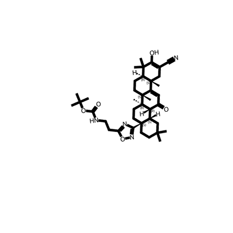 CC1(C)CC[C@]2(c3noc(CCNC(=O)OC(C)(C)C)n3)CC[C@]3(C)[C@H](C(=O)C=C4[C@@]5(C)CC(C#N)=C(O)C(C)(C)[C@@H]5CC[C@]43C)[C@@H]2C1